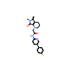 C=C1C2=C(C(=O)N1C)N(CC(=O)Nc1ccc(-c3ccc(F)cc3)cn1)CCC2